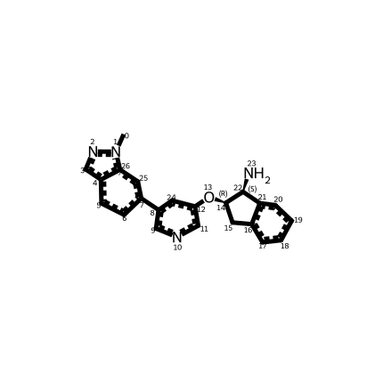 Cn1ncc2ccc(-c3cncc(O[C@@H]4Cc5ccccc5[C@@H]4N)c3)cc21